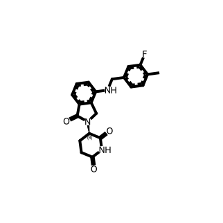 Cc1ccc(CNc2cccc3c2CN([C@@H]2CCC(=O)NC2=O)C3=O)cc1F